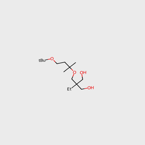 CCC(CO)(CO)COC(C)(C)CCOC(C)(C)C